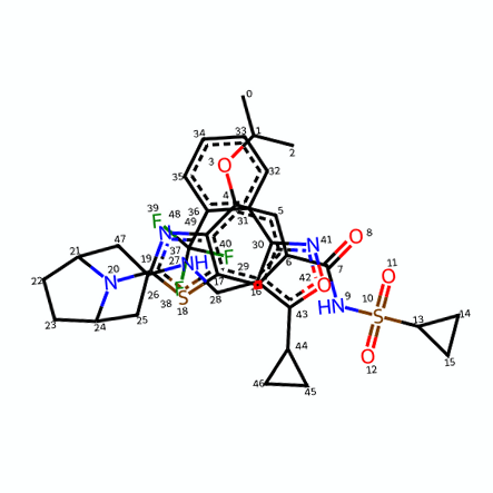 CC(C)Oc1cc(C(=O)NS(=O)(=O)C2CC2)cc2sc(N3C4CCC3CC(NCc3c(-c5ccccc5C(F)(F)F)noc3C3CC3)C4)nc12